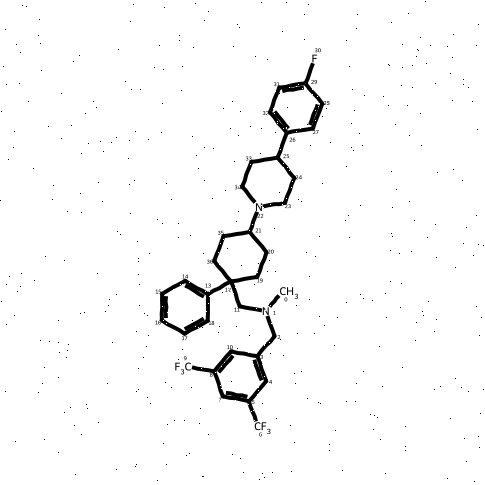 CN(Cc1cc(C(F)(F)F)cc(C(F)(F)F)c1)CC1(c2ccccc2)CCC(N2CCC(c3ccc(F)cc3)CC2)CC1